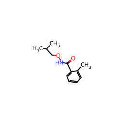 Cc1ccccc1C(=O)NOCC(C)C